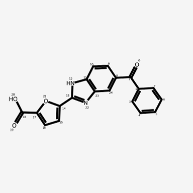 O=C(c1ccccc1)c1ccc2[nH]c(-c3ccc(C(=O)O)o3)nc2c1